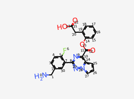 NCc1ccc(F)c(-c2nc(C(=O)Oc3ccccc3CC(=O)O)c3cccn3n2)c1